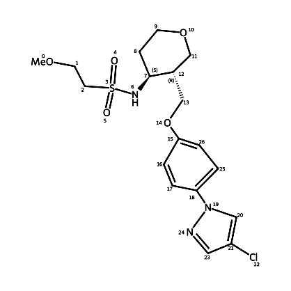 COCCS(=O)(=O)N[C@H]1CCOC[C@@H]1COc1ccc(-n2cc(Cl)cn2)cc1